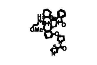 COCCNC(=O)[C@H]1CCCC[C@H]1C(=O)N1CCc2cccc(O[C@H]3CCN(C(=O)c4cncs4)C3)c2[C@H]1CN1C(=O)c2ccccc2C1=O